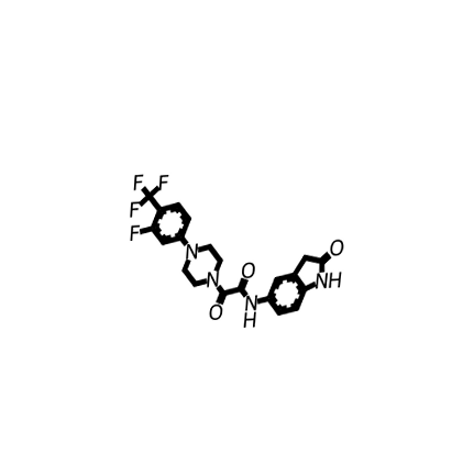 O=C1Cc2cc(NC(=O)C(=O)N3CCN(c4ccc(C(F)(F)F)c(F)c4)CC3)ccc2N1